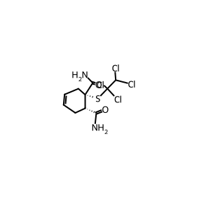 NC(=O)[C@@H]1CC=CC[C@@]1(SC(Cl)(Cl)C(Cl)Cl)C(N)=O